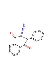 [N-]=[N+]=C1C(=O)c2ccccc2C(=O)C1c1ccccc1